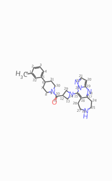 Cc1cccc(C2CCN(C(=O)C3CN(c4c5c(nc6ccnn46)CCNCC5)C3)CC2)c1